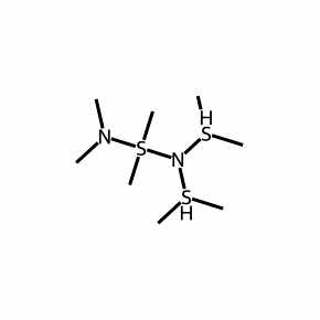 CN(C)S(C)(C)N([SH](C)C)[SH](C)C